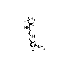 CNC(=S)NCCNCc1c[nH]c(N)n1